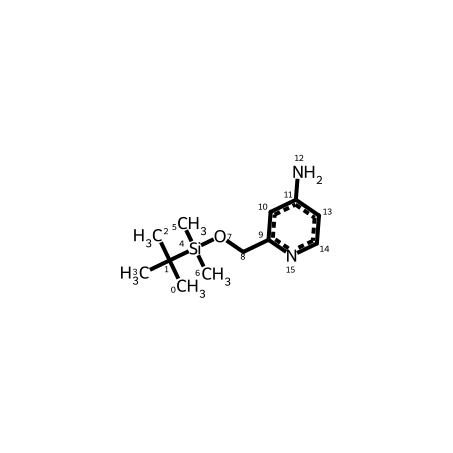 CC(C)(C)[Si](C)(C)OCc1cc(N)ccn1